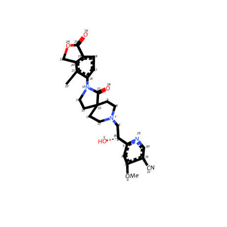 COc1cc([C@H](O)CN2CCC3(CC2)CCN(c2ccc4c(c2C)COC4=O)C3=O)ncc1C#N